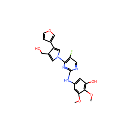 COc1cc(Nc2ncc(F)c(-n3cc(CO)c(-c4ccoc4)c3)n2)cc(O)c1OC